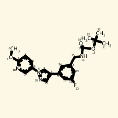 COc1ccc(-n2cc(-c3cc(F)cc(CNC(=O)OC(C)(C)C)c3)cn2)cn1